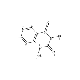 CCC(C(=O)ON)C(=O)c1cccnc1